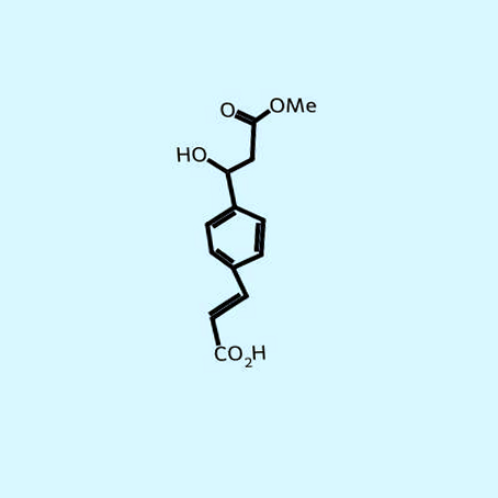 COC(=O)CC(O)c1ccc(C=CC(=O)O)cc1